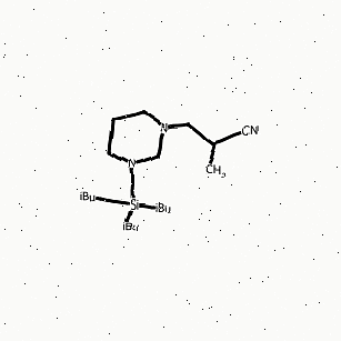 CCC(C)[Si](C(C)CC)(C(C)CC)N1CCCN(CC(C)C#N)C1